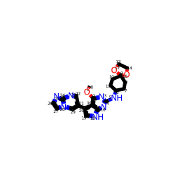 COc1nc(NC2CCC3(CC2)OCCO3)nc2[nH]cc(-c3cnc4nccn4c3)c12